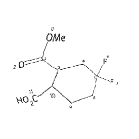 COC(=O)C1CC(F)(F)CCC1C(=O)O